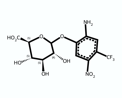 Nc1cc(C(F)(F)F)c([N+](=O)[O-])cc1OC1O[C@H](C(=O)O)[C@@H](O)[C@H](O)[C@H]1O